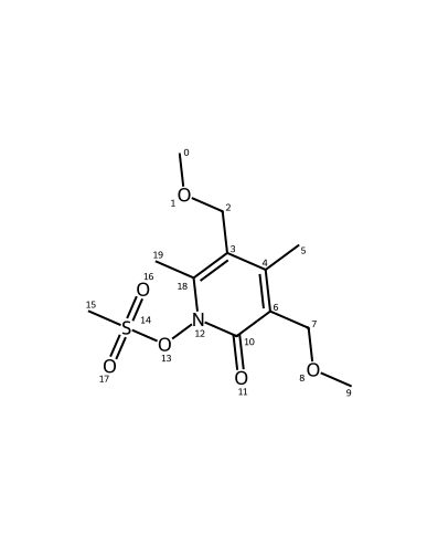 COCc1c(C)c(COC)c(=O)n(OS(C)(=O)=O)c1C